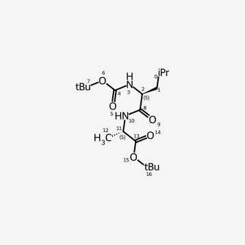 CC(C)C[C@H](NC(=O)OC(C)(C)C)C(=O)N[C@@H](C)C(=O)OC(C)(C)C